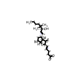 CCCCC(C)(C)[C@H](O)/C=C/[C@H]1CC[C@H]2O[C@H](/C=C/CCC(=O)[O-])C(F)[C@H]12.[Na+]